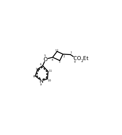 CCOC(=O)CC1CC(Oc2ccncc2)C1